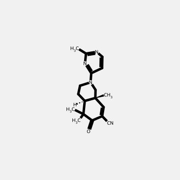 Cc1nccc(N2CC[C@@H]3C(C)(C)C(=O)C(C#N)=C[C@@]3(C)C2)n1